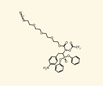 [N-]=[N+]=NCCOCCOCCOCCOC(=O)N(OC(=O)C(F)(F)F)C(Cc1ccc(N)cc1)P(=O)(Oc1ccccc1)Oc1ccccc1